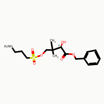 CC(=O)NCCCS(=O)(=O)OCC(C)(C)[C@@H](O)C(=O)OCc1ccccc1